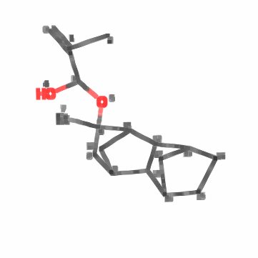 C=C(C)C(O)OC1(CC)CC2CC1C1C3CCC(C3)C21